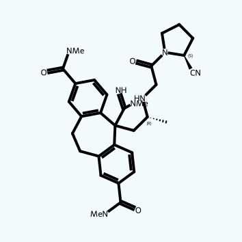 CNC(=N)C1(C[C@@H](C)NCC(=O)N2CCC[C@H]2C#N)c2ccc(C(=O)NC)cc2CCc2cc(C(=O)NC)ccc21